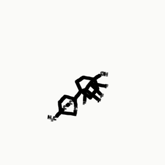 CC12CCC(C34CCC(O)(CC3)C(F)(F)C4(F)F)(CC1)CC2